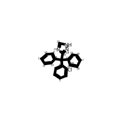 Clc1ccccc1C(c1ccccc1)(c1ccccc1)c1nc[nH]n1